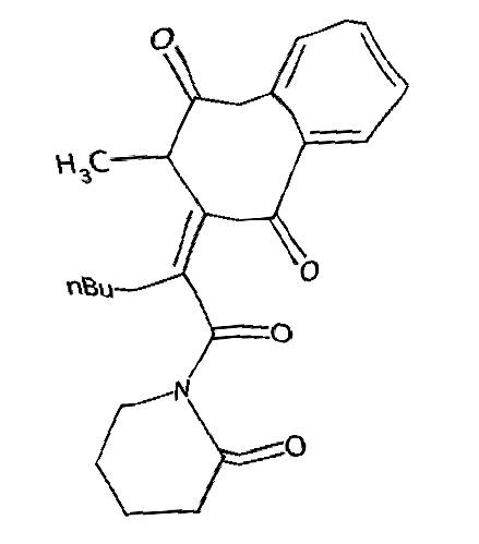 CCCC/C(C(=O)N1CCCCC1=O)=C1/C(=O)c2ccccc2C(=O)C1C